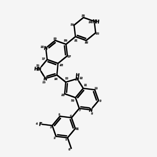 Cc1cc(F)cc(-c2nccc3[nH]c(-c4n[nH]c5ncc(C6=CCNCC6)cc45)cc23)c1